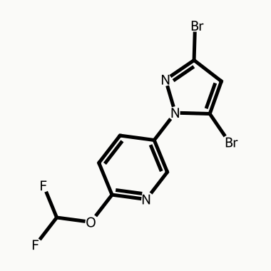 FC(F)Oc1ccc(-n2nc(Br)cc2Br)cn1